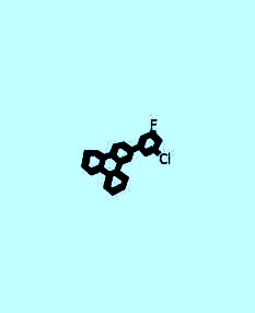 Fc1cc(Cl)cc(-c2ccc3c4ccccc4c4ccccc4c3c2)c1